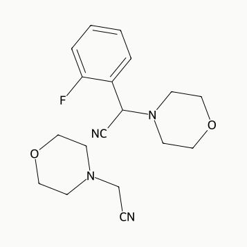 N#CC(c1ccccc1F)N1CCOCC1.N#CCN1CCOCC1